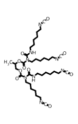 CC(COC(=O)N(CCCCCCN=C=O)C(=O)NCCCCCCN=C=O)OC(=O)N(CCCCCCN=C=O)C(=O)NCCCCCCN=C=O